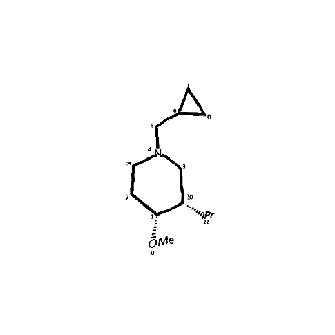 CO[C@@H]1CCN(CC2CC2)C[C@@H]1C(C)C